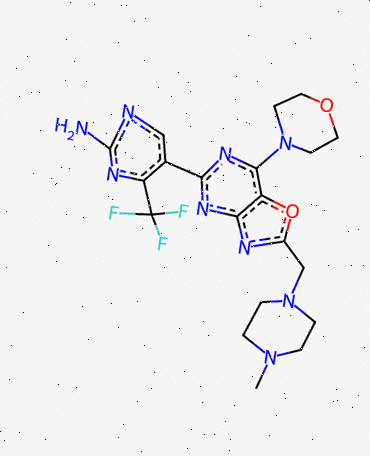 CN1CCN(Cc2nc3nc(-c4cnc(N)nc4C(F)(F)F)nc(N4CCOCC4)c3o2)CC1